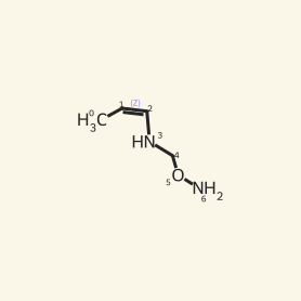 C/C=C\NCON